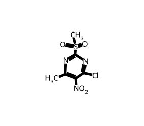 Cc1nc(S(C)(=O)=O)nc(Cl)c1[N+](=O)[O-]